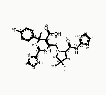 CC1(c2ccc(F)cc2)N=C(c2nccs2)NC(CN2CC(F)(F)CC2C(=O)Nc2nccs2)=C1C(=O)O